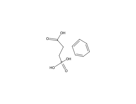 O=C(O)CCP(=O)(O)O.c1ccccc1